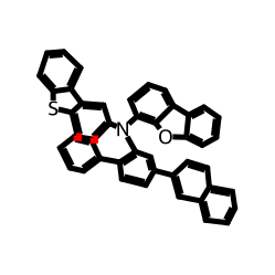 c1ccc(-c2ccc(-c3ccc4ccccc4c3)cc2N(c2ccc3sc4ccccc4c3c2)c2cccc3c2oc2ccccc23)cc1